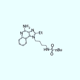 CCCCS(=O)(=O)NCCCCn1c(CC)nc2c(N)nc3ccccc3c21